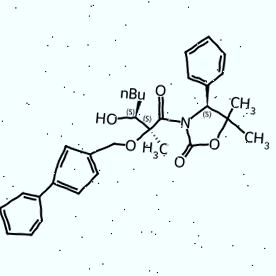 CCCC[C@H](O)[C@](C)(OCc1ccc(-c2ccccc2)cc1)C(=O)N1C(=O)OC(C)(C)[C@@H]1c1ccccc1